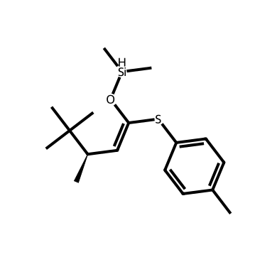 Cc1ccc(SC(=C[C@@H](C)C(C)(C)C)O[SiH](C)C)cc1